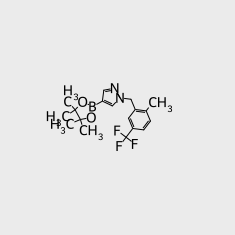 Cc1ccc(C(F)(F)F)cc1Cn1cc(B2OC(C)(C)C(C)(C)O2)cn1